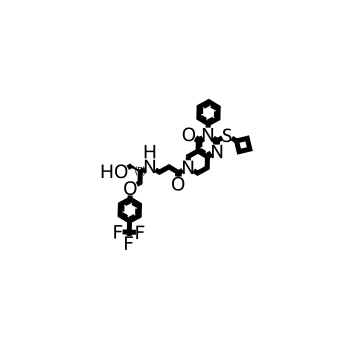 O=C(CCN[C@H](CO)COc1ccc(C(F)(F)F)cc1)N1CCc2nc(SC3CCC3)n(-c3ccccc3)c(=O)c2C1